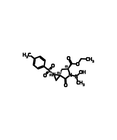 CCOC(=O)[C@@H]1C[C@@]2(C[N@]2S(=O)(=O)c2ccc(C)cc2)C(=O)N1B(C)O